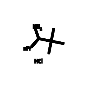 CCCC(N)C(C)(C)C.Cl